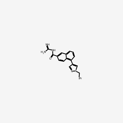 CC(C)Cn1cc(-c2cccc3cc(C(=O)NC(=N)N)ccc23)cn1